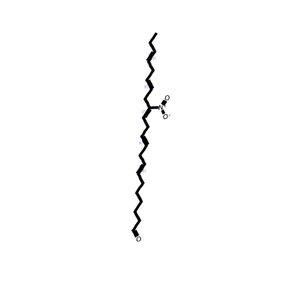 CC/C=C/C/C=C/C/C(=C/C/C=C/C/C=C/CCCCC[C]=O)[N+](=O)[O-]